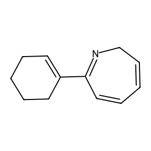 C1=CCN=C(C2=CCCCC2)C=C1